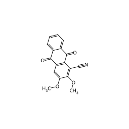 COc1cc2c(c(C#N)c1OC)C(=O)c1ccccc1C2=O